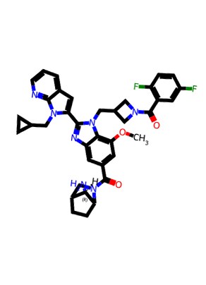 COc1cc(C(=O)N2CC3CCC2[C@@H]3N)cc2nc(-c3cc4cccnc4n3CC3CC3)n(CC3CN(C(=O)c4cc(F)ccc4F)C3)c12